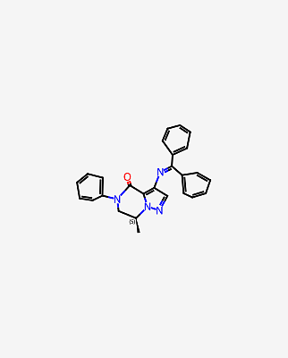 C[C@H]1CN(c2ccccc2)C(=O)c2c(N=C(c3ccccc3)c3ccccc3)cnn21